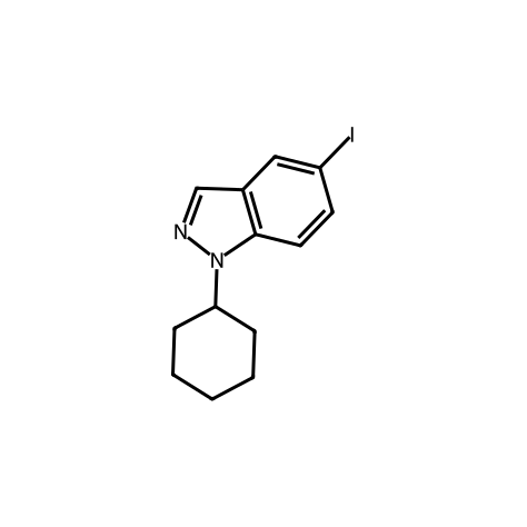 Ic1ccc2c(cnn2C2CCCCC2)c1